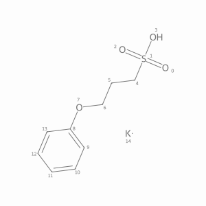 O=S(=O)(O)CCCOc1ccccc1.[K]